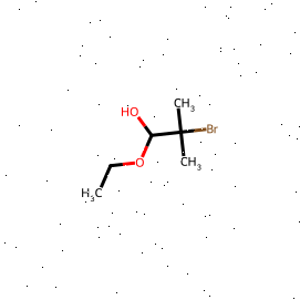 CCOC(O)C(C)(C)Br